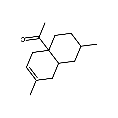 CC(=O)C12CC=C(C)CC1CC(C)CC2